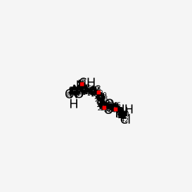 Cn1nc(N2CCC(=O)NC2=O)c2ccc(C3CCN(CC4CCN(c5cccc(S(=O)(=O)C6CCC(Nc7ncc(Cl)cn7)CC6)c5)CC4)CC3)cc21